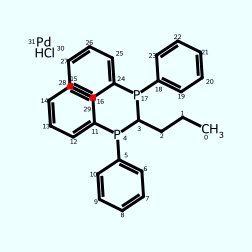 CCCC(P(c1ccccc1)c1ccccc1)P(c1ccccc1)c1ccccc1.Cl.[Pd]